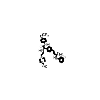 CC(=O)N1CCN(CCNC(C(=O)Nc2ccc(OC(F)(F)F)cc2)c2ccc(C=CC(=O)Nc3ccccc3N)cc2)CC1